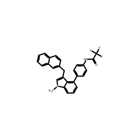 Cn1cc(Cc2ccc3ccccc3c2)c2c(-c3ccc(NC(=O)C(F)(F)F)cc3)cccc21